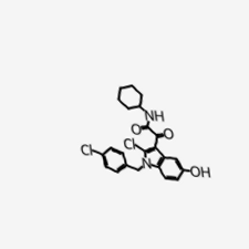 O=C(NC1CCCCC1)C(=O)c1c(Cl)n(Cc2ccc(Cl)cc2)c2ccc(O)cc12